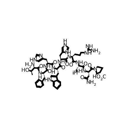 CC(C)C[C@H](NC(=O)[C@H](CCCNC(=N)N)NC(=O)[C@H](Cc1c[nH]cn1)NC(=O)[C@H](Cc1c[nH]c2ccccc12)NC(=O)[C@H](Cc1c[nH]cn1)NC(=O)[C@H](Cc1ccccc1)NC(=O)[C@@H](N)[C@@H](C)O)C(=O)N[C@@H](CC(N)=O)C(=O)N1CCC[C@H]1C(=O)O